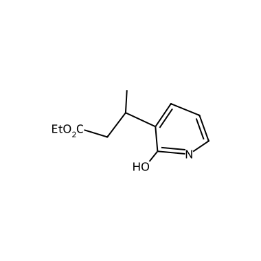 CCOC(=O)CC(C)c1cccnc1O